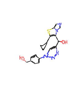 OCc1ccc(-n2cc(C(O)c3c(C4CC4)sc4cncn34)nn2)cc1